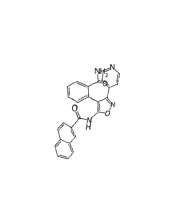 NC(=O)c1ccccc1-c1c(-c2ccncc2)noc1NC(=O)c1ccc2ccccc2c1